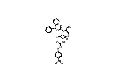 O=CC1=CS[C@@H]2C(NC(=O)OCc3ccc([N+](=O)[O-])cc3)C(=O)N2C1C(=O)OC(c1ccccc1)c1ccccc1